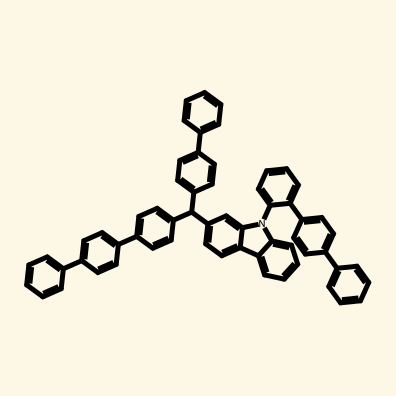 c1ccc(-c2ccc(-c3ccc(C(c4ccc(-c5ccccc5)cc4)c4ccc5c6ccccc6n(-c6ccccc6-c6ccc(-c7ccccc7)cc6)c5c4)cc3)cc2)cc1